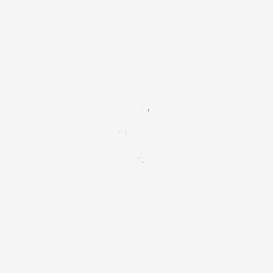 [AlH3].[Co].[Cr].[Mo].[Ni]